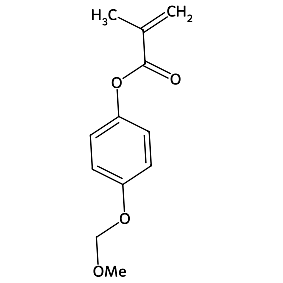 C=C(C)C(=O)Oc1ccc(OCOC)cc1